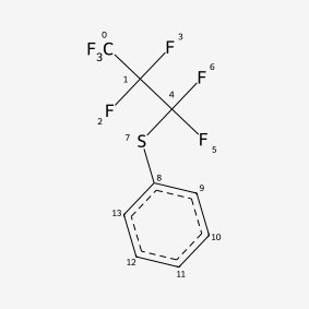 FC(F)(F)C(F)(F)C(F)(F)Sc1ccccc1